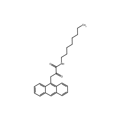 CCCCCCCCNC(=O)C(=O)Cc1c2ccccc2cc2ccccc12